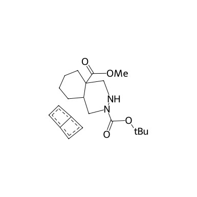 COC(=O)C12CCCCC1CN(C(=O)OC(C)(C)C)NC2.c1cc2ccc1-2